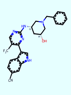 N#Cc1ccc2c(-c3nc(N[C@H]4C[C@@H](O)CN(Cc5ccccc5)C4)ncc3C(F)(F)F)c[nH]c2c1